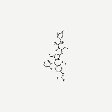 CCc1nc2nc(C(c3ccccc3F)c3ccc(OC(F)F)cc3P)n(CC)c2cc1C(=O)Nc1cnn(CC)c1